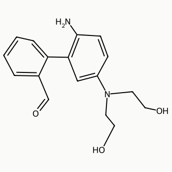 Nc1ccc(N(CCO)CCO)cc1-c1ccccc1C=O